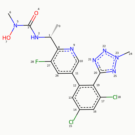 C[C@@H](NC(=O)N(C)O)c1ncc(-c2cc(Cl)cc(Cl)c2-c2nnn(C)n2)cc1F